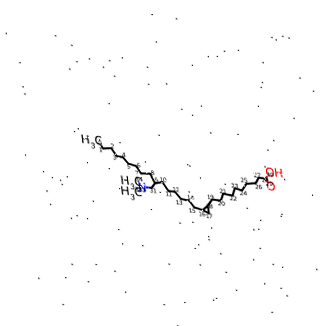 CCCCCCCCCC(CCCCCCC1CC1CCCCCCCCCC(=O)O)CN(C)C